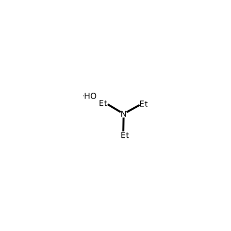 CCN(CC)CC.[OH]